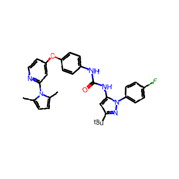 Cc1ccc(C)n1-c1cc(Oc2ccc(NC(=O)Nc3cc(C(C)(C)C)nn3-c3ccc(F)cc3)cc2)ccn1